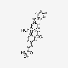 Cl.O=C(/C=C/c1ccc2c(c1)C(=O)CC1(CCN(Cc3ccccc3)CC1)O2)NO